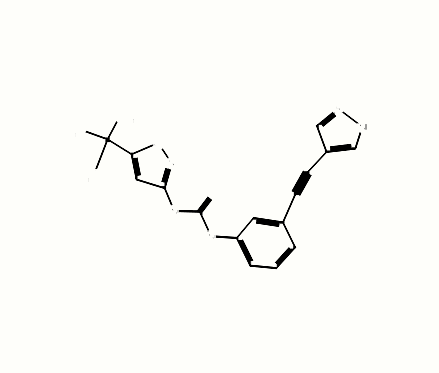 CC(C)(C)c1cc(NC(=O)Nc2cccc(C#Cc3cn[nH]c3)c2)no1